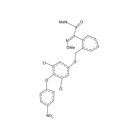 CNC(=O)/C(=N/OC)c1ccccc1COc1cc(Cl)c(Oc2ccc([N+](=O)[O-])cc2)c(Cl)c1